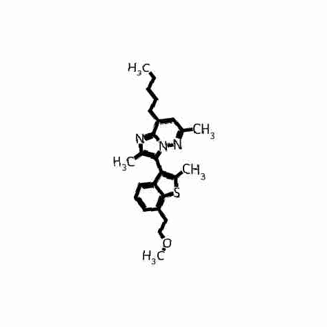 CCCCCc1cc(C)nn2c(-c3c(C)sc4c(CCOC)cccc34)c(C)nc12